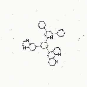 c1ccc(-c2cc(-c3ccccc3)nc(-c3cc(-c4ccc5nccnc5c4)cc(-c4cc5cccnc5c5ncccc45)c3)n2)cc1